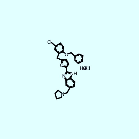 Cl.Cl.Clc1ccc(OCc2ccccc2)c(Cc2ccc(-c3nc4cc(CN5CCCC5)ccc4[nH]3)o2)c1